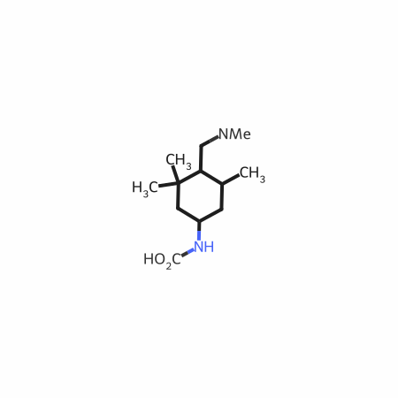 CNCC1C(C)CC(NC(=O)O)CC1(C)C